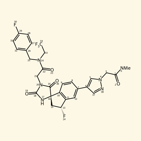 CNC(=O)Cn1cc(-c2ccc3c(c2)[C@H](F)C[C@]32NC(=O)N(CC(=O)N(Cc3ccc(F)cc3)CC(F)(F)F)C2=O)cn1